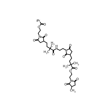 CC(C)C(=O)OCCN1C(=O)CC(CCC(C)(C)C(=O)NCCN2C(=O)CC(CCC(C)(C)C(=O)OCCN3C(=O)CC(C)C3=O)C2=O)C1=O